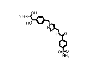 CCCCCC[C@@H](O)[C@@H](O)c1ccc(Cn2cc(CNC(=O)c3ccc(S(N)(=O)=O)cc3)nn2)cc1